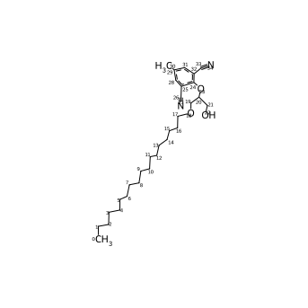 CCCCCCCCCCCCCCCCCCOCC(CO)Oc1c(C#N)cc(C)cc1C#N